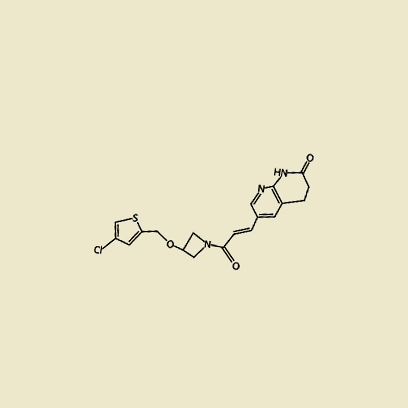 O=C1CCc2cc(C=CC(=O)N3CC(OCc4cc(Cl)cs4)C3)cnc2N1